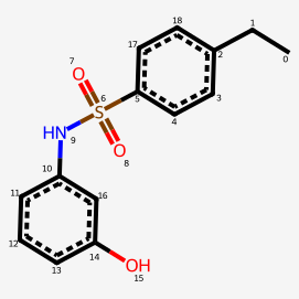 CCc1ccc(S(=O)(=O)Nc2cccc(O)c2)cc1